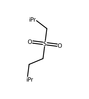 CC(C)CCS(=O)(=O)CC(C)C